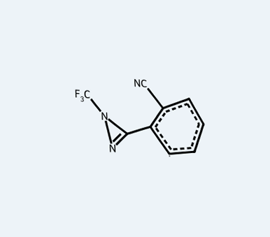 N#Cc1ccc[c]c1C1=NN1C(F)(F)F